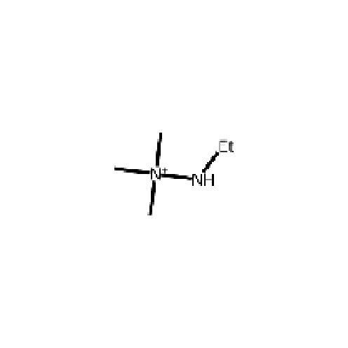 CCN[N+](C)(C)C